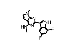 CNc1nc(-c2c[nH]c3c(F)cc(F)cc23)nc2c1ccn2C